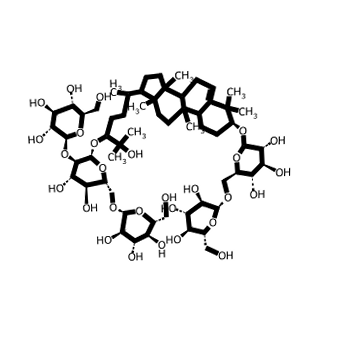 CC(CCC(O[C@@H]1O[C@H](CO[C@@H]2O[C@H](CO)[C@@H](O)[C@H](O)[C@H]2O)[C@@H](O)[C@H](O)[C@H]1O[C@@H]1O[C@H](CO)[C@@H](O)[C@H](O)[C@H]1O)C(C)(C)O)C1CCC2(C)C3CC=C4C(CC[C@H](OC5O[C@H](CO[C@@H]6O[C@H](CO)[C@@H](O)[C@H](O)[C@H]6O)[C@@H](O)[C@H](O)[C@H]5O)C4(C)C)C3(C)CCC12C